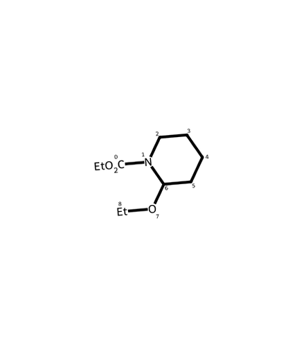 CCOC(=O)N1CCCCC1OCC